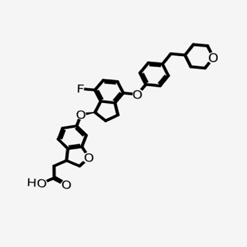 O=C(O)CC1COc2cc(O[C@@H]3CCc4c(Oc5ccc(CC6CCOCC6)cc5)ccc(F)c43)ccc21